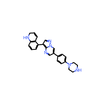 C1=Cc2c(cccc2-c2cnn3cc(-c4ccc(N5CCNCC5)cc4)cnc23)NC1